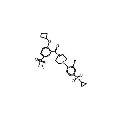 CS(=O)(=O)c1ccc(OC2CCC2)c(C(=O)N2CCN(c3ccc(S(=O)(=O)C4CC4)cc3F)CC2)c1